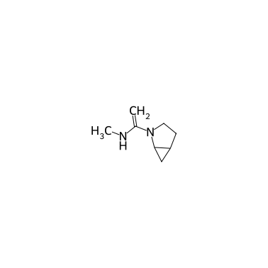 C=C(NC)N1CCC2CC21